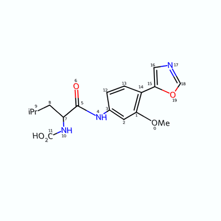 COc1cc(NC(=O)C(CC(C)C)NC(=O)O)ccc1-c1cnco1